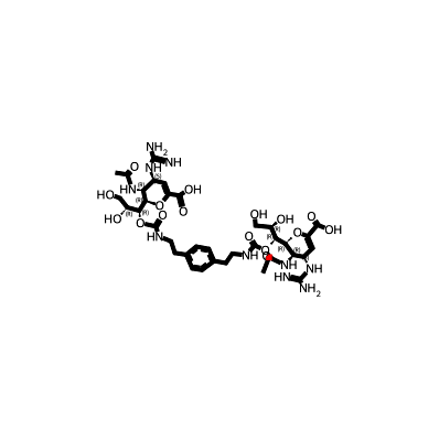 CC(=O)N[C@H]1[C@H]([C@H](OC(=O)NCCc2ccc(CCNC(=O)O[C@@H]([C@@H]3OC(C(=O)O)=C[C@H](NC(=N)N)[C@H]3NC(C)=O)[C@H](O)CO)cc2)[C@H](O)CO)OC(C(=O)O)=C[C@@H]1NC(=N)N